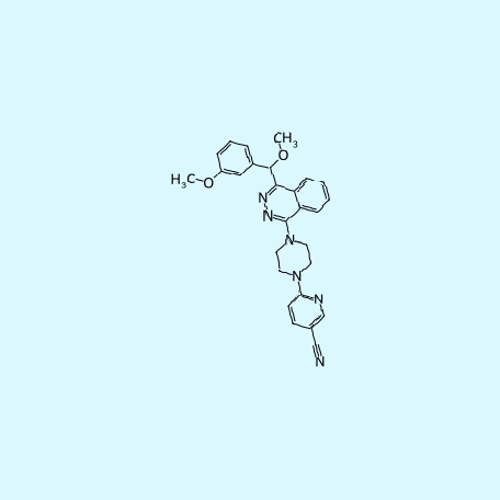 COc1cccc(C(OC)c2nnc(N3CCN(c4ccc(C#N)cn4)CC3)c3ccccc23)c1